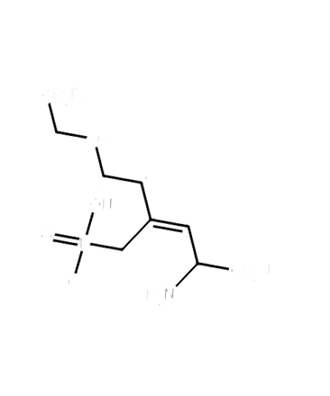 CCOC(=O)COCC/C(=C/C(N)C(=O)O)CP(=O)(O)O